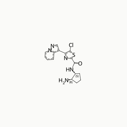 N[C@@H]1CCC[C@@H]1NC(=O)c1nc(-c2cnn3ccccc23)c(Cl)s1